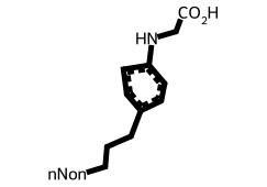 CCCCCCCCCCCCc1ccc(NCC(=O)O)cc1